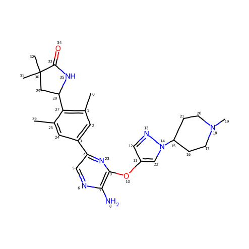 Cc1cc(-c2cnc(N)c(Oc3cnn(C4CCN(C)CC4)c3)n2)cc(C)c1C1CC(C)(C)C(=O)N1